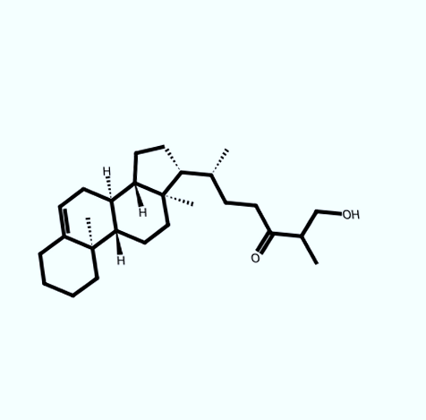 CC(CO)C(=O)CC[C@@H](C)[C@H]1CC[C@H]2[C@@H]3CC=C4CCCC[C@]4(C)[C@H]3CC[C@]12C